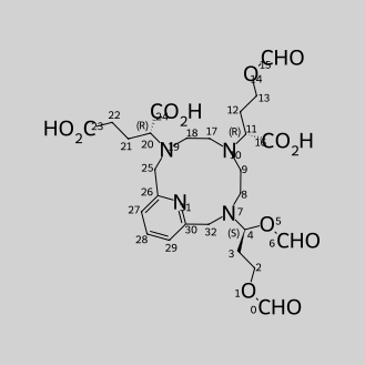 O=COCC[C@H](OC=O)N1CCN([C@H](CCOC=O)C(=O)O)CCN([C@H](CCC(=O)O)C(=O)O)Cc2cccc(n2)C1